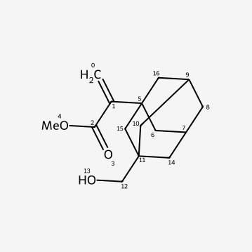 C=C(C(=O)OC)C12CC3CC(CC(CO)(C3)C1)C2